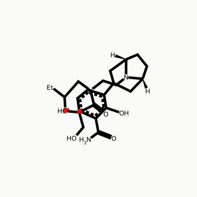 CCC(CC)CN(CCN1[C@@H]2CC[C@H]1CC(c1cccc(C(N)=O)c1O)C2)C(=O)C(O)CO